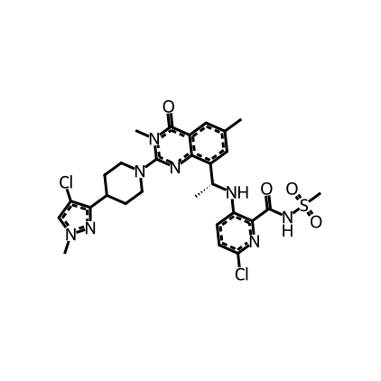 Cc1cc([C@@H](C)Nc2ccc(Cl)nc2C(=O)NS(C)(=O)=O)c2nc(N3CCC(c4nn(C)cc4Cl)CC3)n(C)c(=O)c2c1